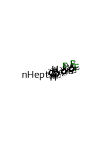 CCCCCCCC1CC[C@@H]2C[C@H](c3ccc(-c4ccc(F)c(F)c4)c(F)c3)CC[C@@H]2C1